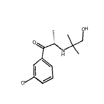 C[C@H](NC(C)(C)CO)C(=O)c1cccc(Cl)c1